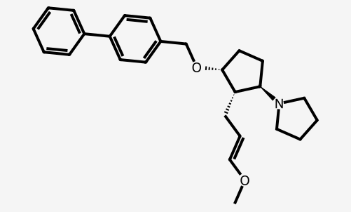 COC=CC[C@H]1[C@H](N2CCCC2)CC[C@H]1OCc1ccc(-c2ccccc2)cc1